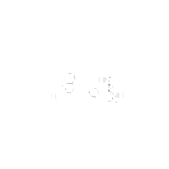 Cc1cc(COc2ccc(C3(CC(=O)NO)CC=NNC3=O)cc2)c2ccccc2n1